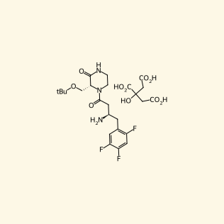 CC(C)(C)OC[C@@H]1C(=O)NCCN1C(=O)C[C@H](N)Cc1cc(F)c(F)cc1F.O=C(O)CC(O)(CC(=O)O)C(=O)O